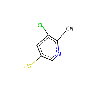 N#Cc1ncc(S)cc1Cl